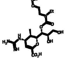 CCCCOCCN(CC)C(=O)O[C@@H]([C@@H]1OC(C(=O)O)=C[C@H](NC(=N)N)[C@H]1C)[C@H](O)CO